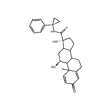 CC12C=CC(=O)C=C1CCC1C3CC[C@](O)(C(=O)NC4(c5ccccc5)CC4)C3C[C@H](O)C12